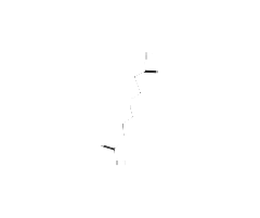 CC(C)C(=O)CCOCCOC(=O)C(C)C